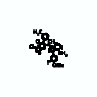 COc1ccc(-c2nn([C@@H](C)c3cc4scc(Cl)n4c(=O)c3-c3cccc(C)c3)c3ncnc(N)c23)cc1F